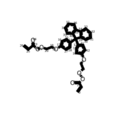 C=CC(=O)OOCCOc1ccc(C2(c3ccc(OCCOOC(=O)C=C)cc3)c3ccccc3-c3ccccc32)cc1